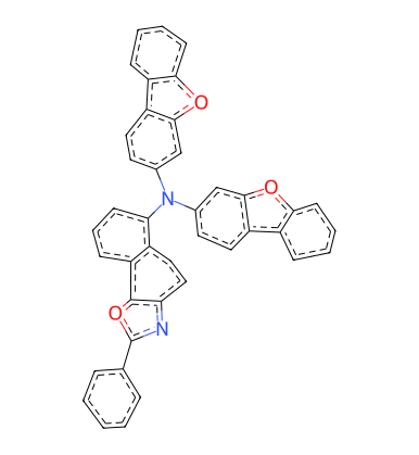 c1ccc(-c2nc3ccc4c(N(c5ccc6c(c5)oc5ccccc56)c5ccc6c(c5)oc5ccccc56)cccc4c3o2)cc1